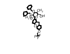 CO[C@@]1(c2ccc(Cl)c(Cc3ccc(OCC(F)(F)F)cc3)c2)O[C@H](CO)[C@@H](C)[C@H](OCc2ccccc2)[C@H]1OCc1ccccc1